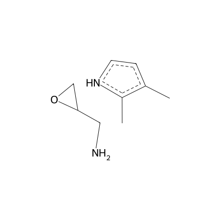 Cc1cc[nH]c1C.NCC1CO1